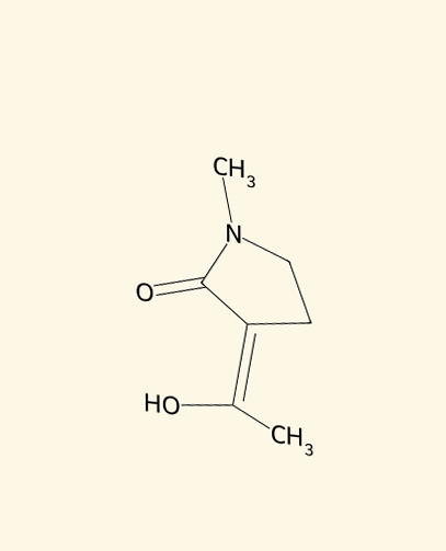 C/C(O)=C1\CCN(C)C1=O